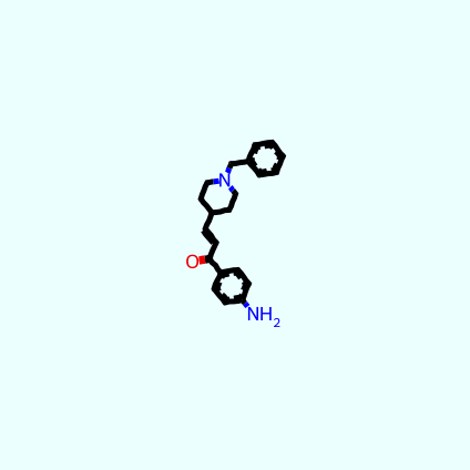 Nc1ccc(C(=O)C=CC2CCN(Cc3ccccc3)CC2)cc1